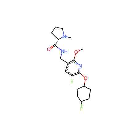 COc1nc(OC2CCC(F)CC2)c(F)cc1CNC(=O)[C@@H]1CCCN1C